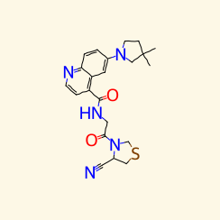 CC1(C)CCN(c2ccc3nccc(C(=O)NCC(=O)N4CSCC4C#N)c3c2)C1